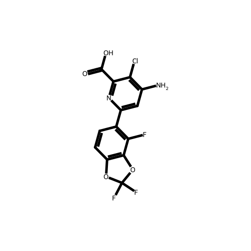 Nc1cc(-c2ccc3c(c2F)OC(F)(F)O3)nc(C(=O)O)c1Cl